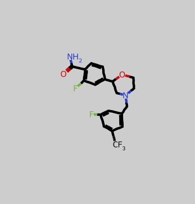 NC(=O)c1ccc(C2CN(Cc3cc(F)cc(C(F)(F)F)c3)CCO2)cc1F